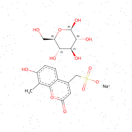 Cc1c(O)ccc2c(CS(=O)(=O)[O-])cc(=O)oc12.OC[C@H]1O[C@@H](O)[C@H](O)[C@@H](O)[C@@H]1O.[Na+]